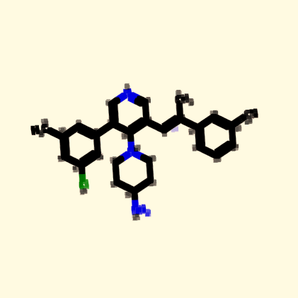 C/C(=C\c1cncc(-c2cc(C)cc(Cl)c2)c1N1CCC(N)CC1)c1cccc(C#N)c1